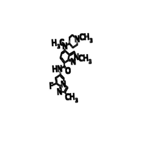 Cc1cn2cc(NC(=O)c3ccc(N(C)C4CCN(C)CC4)c4cn(C)nc34)cc(F)c2n1